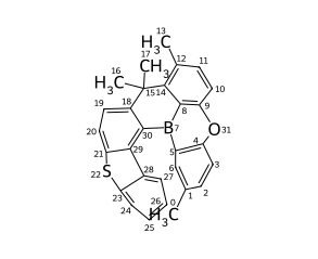 Cc1ccc2c(c1)B1c3c(ccc(C)c3C(C)(C)c3ccc4sc5ccccc5c4c31)O2